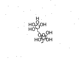 C=C[C@@H]1[C@@H](O)[C@H](OCCc2cc(O)c(O)c(O)c2O)O[C@H](CO)[C@H]1O